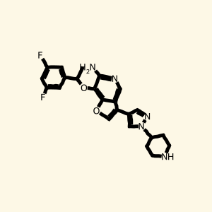 CC(Oc1c(N)ncc2c(-c3cnn(C4CCNCC4)c3)coc12)c1cc(F)cc(F)c1